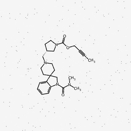 CC#CCOC(=O)N1CC[C@@H](CN2CCC3(CC2)CN(C(=O)N(C)C)c2ccccc23)C1